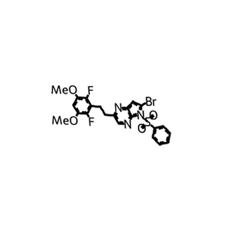 COc1cc(OC)c(F)c(CCc2cnc3c(cc(Br)n3S(=O)(=O)c3ccccc3)n2)c1F